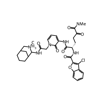 CNC(=O)C(=O)CC[C@H](NC(=O)c1oc2ccccc2c1Cl)C(=O)Nc1cccn(CC(=O)NC2C3CCCC(C3)CN2C)c1=O